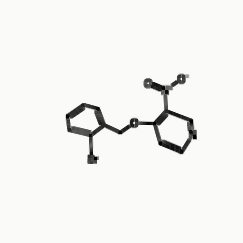 O=[N+]([O-])c1cnccc1OCc1ccccc1Br